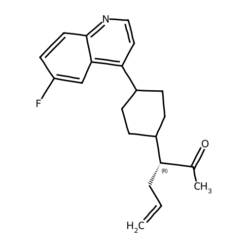 C=CC[C@@H](C(C)=O)C1CCC(c2ccnc3ccc(F)cc23)CC1